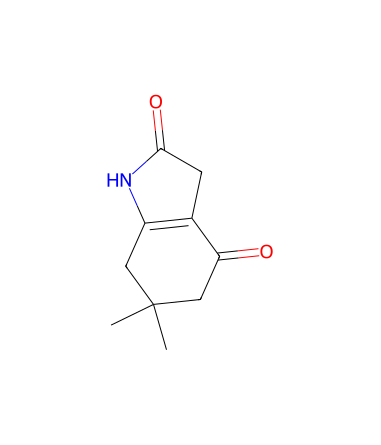 CC1(C)CC(=O)C2=C(C1)NC(=O)C2